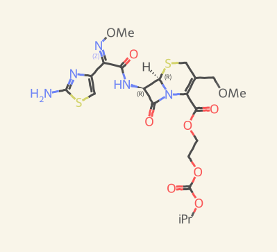 COCC1=C(C(=O)OCCOC(=O)OC(C)C)N2C(=O)[C@@H](NC(=O)/C(=N\OC)c3csc(N)n3)[C@H]2SC1